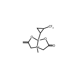 C=C1C[N+]2(C)CC(=O)O[B-]2(C2CC2C(F)(F)F)O1